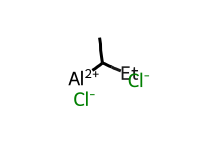 CC[CH](C)[Al+2].[Cl-].[Cl-]